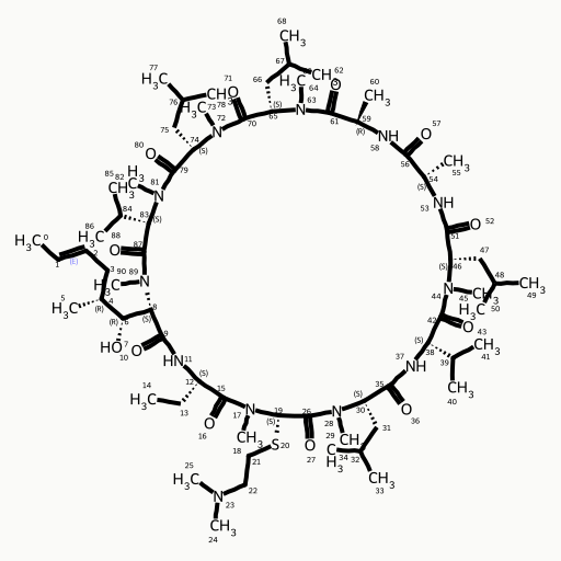 C/C=C/C[C@@H](C)[C@@H](O)[C@H]1C(=O)N[C@@H](CC)C(=O)N(C)[C@@H](SCCN(C)C)C(=O)N(C)[C@@H](CC(C)C)C(=O)N[C@@H](C(C)C)C(=O)N(C)[C@@H](CC(C)C)C(=O)N[C@@H](C)C(=O)N[C@H](C)C(=O)N(C)[C@@H](CC(C)C)C(=O)N(C)[C@@H](CC(C)C)C(=O)N(C)[C@@H](C(C)C)C(=O)N1C